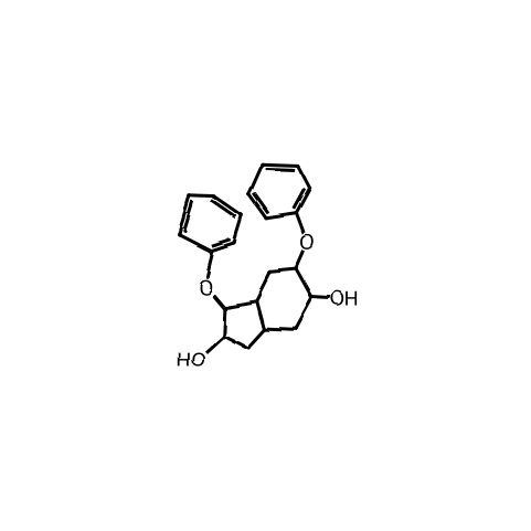 OC1CC2CC(O)C(Oc3ccccc3)C2CC1Oc1ccccc1